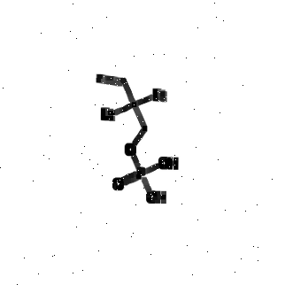 C=CC(CC)(CC)COP(=O)(O)O